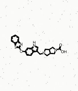 O=C(O)N1CC2CN(Cc3c[nH]c4cc(Oc5nc6ccccc6s5)ccc34)CC2C1